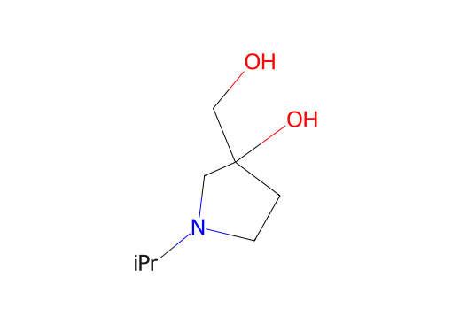 CC(C)N1CCC(O)(CO)C1